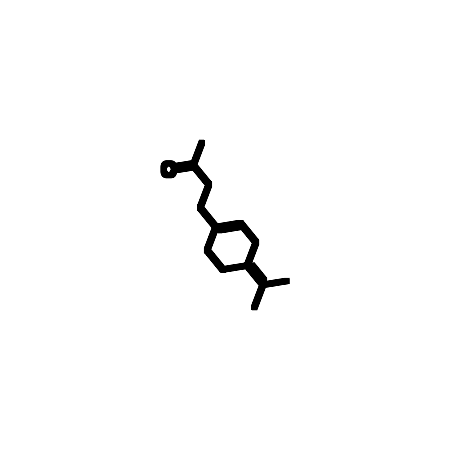 CC(=O)CCC1=CCC(=C(C)C)CC1